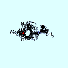 CO[C@]1(C)C[C@H](O[C@H]2[C@H](C)[C@@H](O[C@@H]3O[C@H](C)C[C@H](N(C)C)[C@H]3O)[C@](C)(O)C[C@@H](C)CN(CCCNC(=O)/C=C/c3cc4c(s3)-c3cc(C)ccc3Sc3ccccc3-4)[C@H](C)[C@@H](O)[C@](C)(O)[C@@H](I)OC(=O)[C@@H]2C)O[C@@H](C)[C@@H]1O